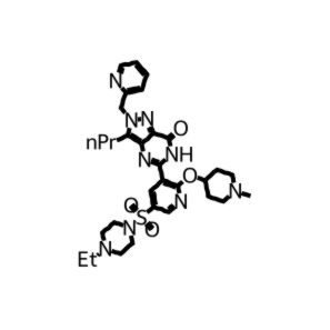 CCCc1c2nc(-c3cc(S(=O)(=O)N4CCN(CC)CC4)cnc3OC3CCN(C)CC3)[nH]c(=O)c2nn1Cc1ccccn1